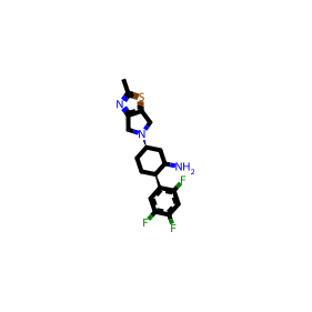 Cc1nc2c(s1)CN([C@H]1CC[C@H](c3cc(F)c(F)cc3F)C(N)C1)C2